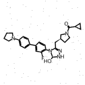 O=C(C1CC1)N1CC[C@@H](CC2=NNC(O)N2c2ccc(-c3ccc(N4CCCC4)cc3)cc2F)C1